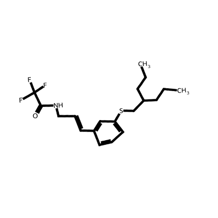 CCCC(CCC)CSc1cccc(C=CCNC(=O)C(F)(F)F)c1